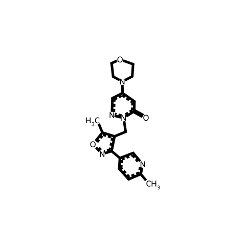 Cc1ccc(-c2noc(C)c2Cn2ncc(N3CCOCC3)cc2=O)cn1